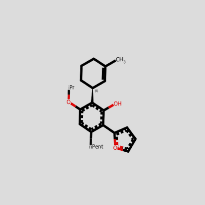 CCCCCc1cc(OC(C)C)c([C@@H]2C=C(C)CCC2)c(O)c1-c1ccco1